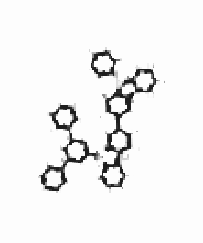 c1ccc(-c2cc(-c3ccccc3)cc(-n3c4ccccc4c4ccc(-c5ccc6c(c5)c5ccccc5n6-c5ccccc5)cc43)c2)cc1